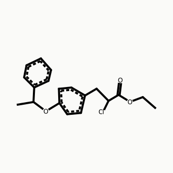 CCOC(=O)C(Cl)Cc1ccc(OC(C)c2ccccc2)cc1